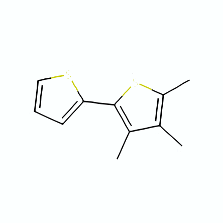 Cc1sc(-c2cccs2)c(C)c1C